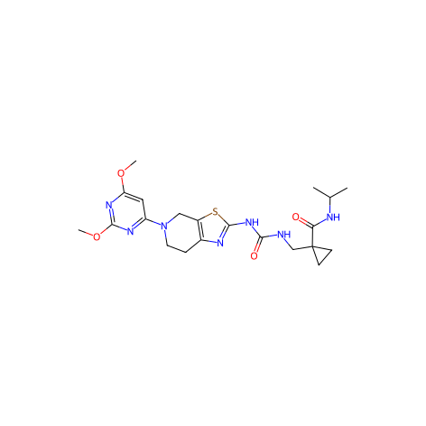 COc1cc(N2CCc3nc(NC(=O)NCC4(C(=O)NC(C)C)CC4)sc3C2)nc(OC)n1